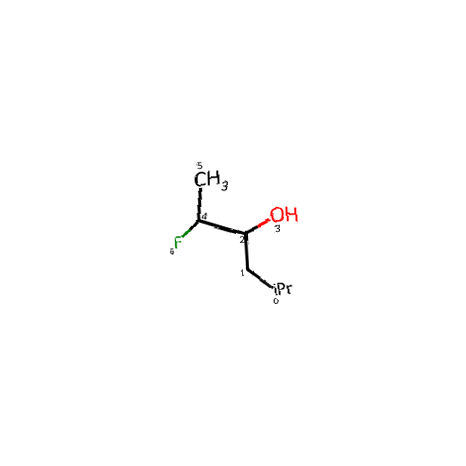 CC(C)CC(O)C(C)F